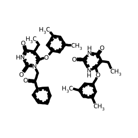 CCc1c(Oc2cc(C)cc(C)c2)[nH]c(=O)[nH]c1=O.CCc1c(Oc2cc(C)cc(C)c2)n(CC(=O)c2ccccc2)c(=O)[nH]c1=O